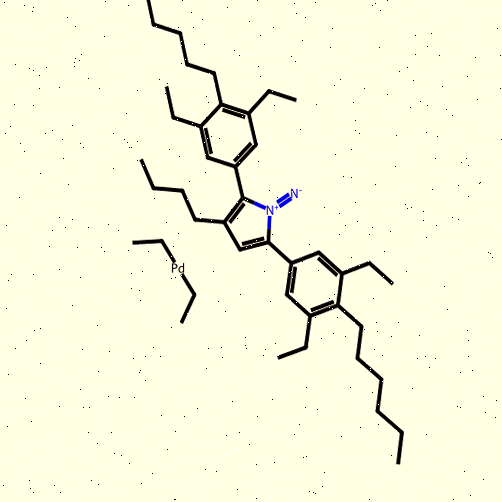 CCCCCCc1c(CC)cc(C2=CC(CCCC)=C(c3cc(CC)c(CCCCCC)c(CC)c3)[N+]2=[N-])cc1CC.C[CH2][Pd][CH2]C